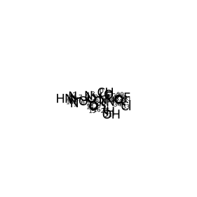 CC(c1cnc(OCc2nc[nH]n2)c2ccccc12)N(CCCO)C(=O)Nc1ccc(F)c(Cl)c1